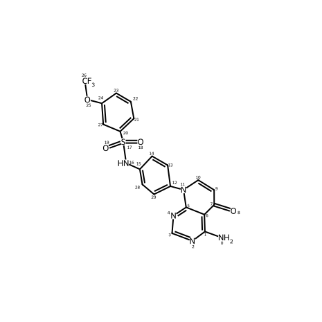 Nc1ncnc2c1c(=O)ccn2-c1ccc(NS(=O)(=O)c2cccc(OC(F)(F)F)c2)cc1